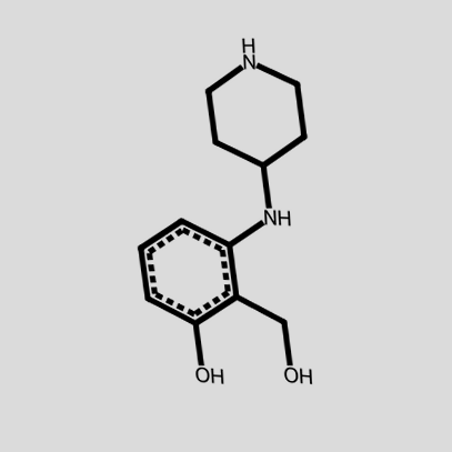 OCc1c(O)cccc1NC1CCNCC1